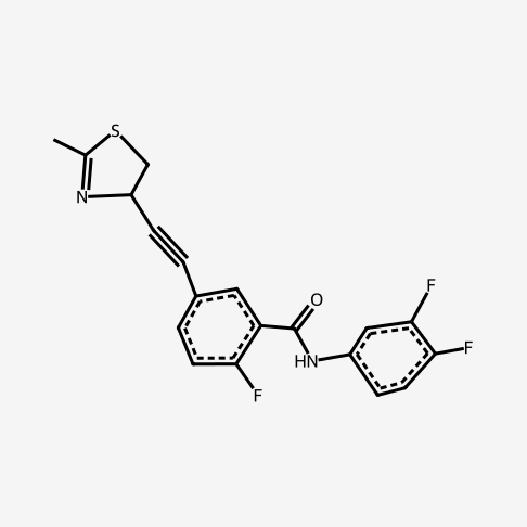 CC1=NC(C#Cc2ccc(F)c(C(=O)Nc3ccc(F)c(F)c3)c2)CS1